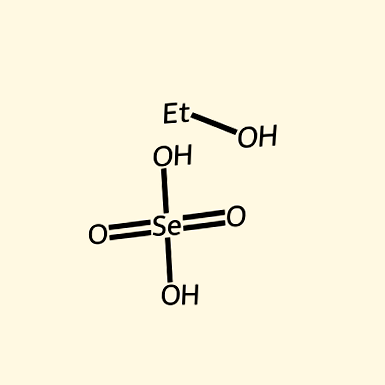 CCO.O=[Se](=O)(O)O